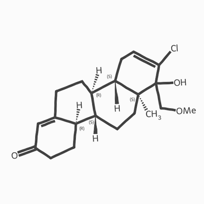 COCC1(O)C(Cl)=CC[C@H]2[C@@H]3CCC4=CC(=O)CC[C@@H]4[C@H]3CC[C@@]21C